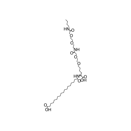 CCCCNC(=O)COCCOCCNC(=O)COCCOCCCC[C@H](NC(=O)CCCCCCCCCCCCCCCCC(=O)O)C(=O)O